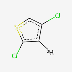 [2H]c1c(Cl)csc1Cl